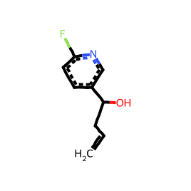 C=CCC(O)c1ccc(F)nc1